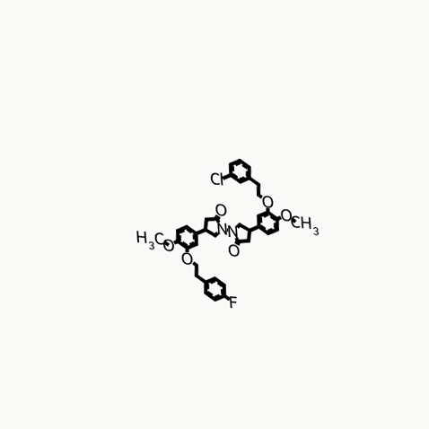 COc1ccc(C2CC(=O)N(N3CC(c4ccc(OC)c(OCCc5cccc(Cl)c5)c4)CC3=O)C2)cc1OCCc1ccc(F)cc1